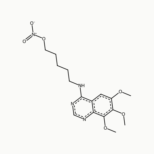 COc1cc2c(NCCCCCO[N+](=O)[O-])ncnc2c(OC)c1OC